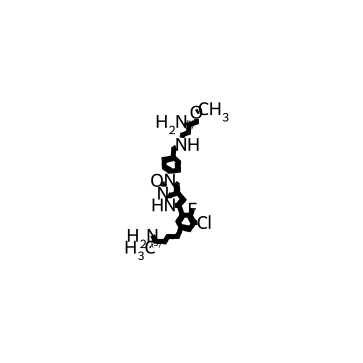 COC[C@H](N)CCNCc1ccc(-n2cc3cc(-c4cc(CCC[C@H](C)N)cc(Cl)c4F)[nH]c3nc2=O)cc1